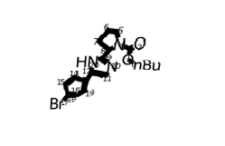 CCCCOC(=O)N1CCCC1c1ncc(-c2ccc(Br)cc2)[nH]1